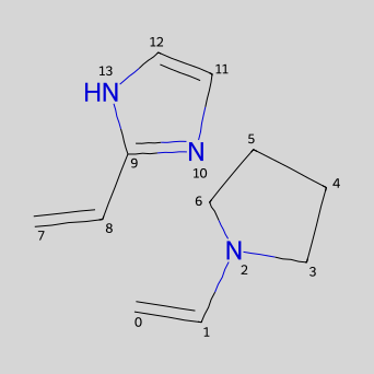 C=CN1CCCC1.C=Cc1ncc[nH]1